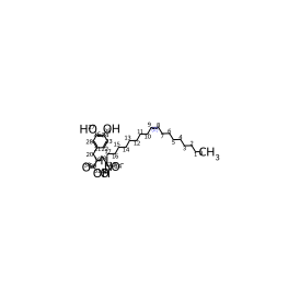 CCCCCCCC/C=C\CCCCCCCCN(C(Cc1ccc(O)c(O)c1)C(=O)O)[N+](=O)[O-]